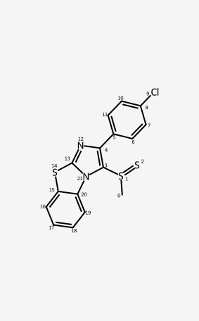 CS(=S)c1c(-c2ccc(Cl)cc2)nc2sc3ccccc3n12